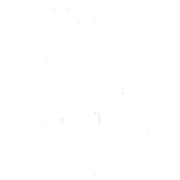 Cc1cc(C(N)=O)cc(C)c1CC(CNC(=O)[C@@H]1C[C@@]1(C)c1ccccc1)N(C)C